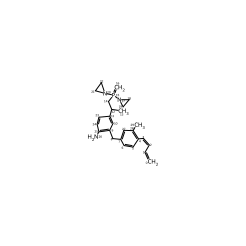 C=C/C=C\c1ccc(Cc2cc(C(C)CP(=C)(N3CC3)N3CC3)ccc2N)cc1C